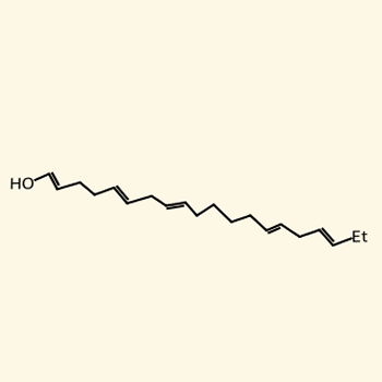 CCC=CCC=CCCCCC=CCC=CCCC=CO